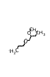 [CH2]CCOCC(CC)OC